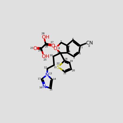 N#Cc1ccc2c(c1)COC2(CCCn1ccnc1)c1cccs1.O=C(O)C(=O)O